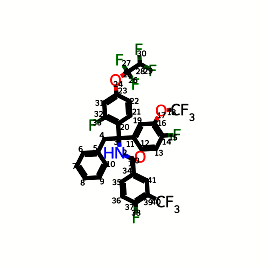 O=C(NC(Cc1ccccc1)(c1ccc(F)c(OC(F)(F)F)c1)c1ccc(OC(F)(F)C(F)F)cc1F)c1ccc(F)c(C(F)(F)F)c1